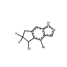 CCC1c2c(cc3[nH]ncc3c2Br)CC1(F)F